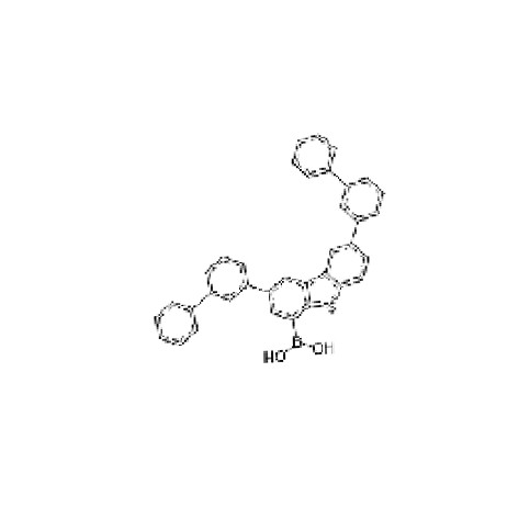 OB(O)c1cc(-c2cccc(-c3ccccc3)c2)cc2c1sc1ccc(-c3cccc(-c4ccccc4)c3)cc12